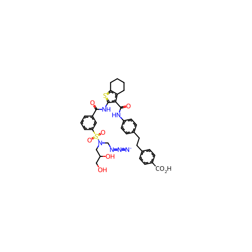 [N-]=[N+]=NCN(CC(O)CO)S(=O)(=O)c1cccc(C(=O)Nc2sc3c(c2C(=O)Nc2ccc(CCc4ccc(C(=O)O)cc4)cc2)CCCC3)c1